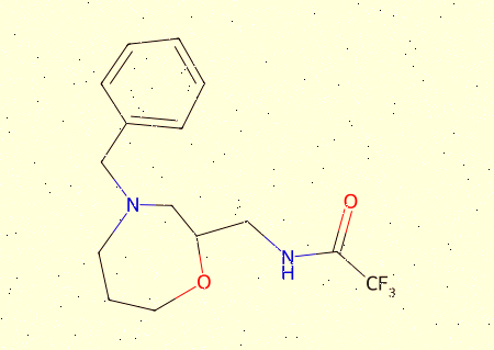 O=C(NCC1CN(Cc2ccccc2)CCCO1)C(F)(F)F